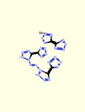 N1=NC(=C2N=NN=N2)N=N1.N1=NC(=C2N=NNN2N=NN2NN=NC2=C2N=NN=N2)N=N1.[Mn]